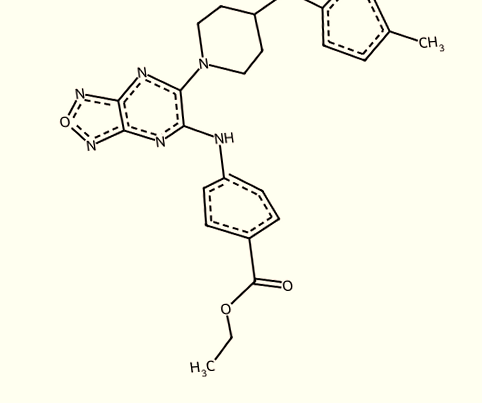 CCOC(=O)c1ccc(Nc2nc3nonc3nc2N2CCC(Sc3ccc(C)cc3)CC2)cc1